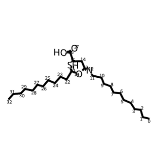 CCCCCCCCCCCCN=C(CCC(=O)O)OC(S)CCCCCCCCCCC